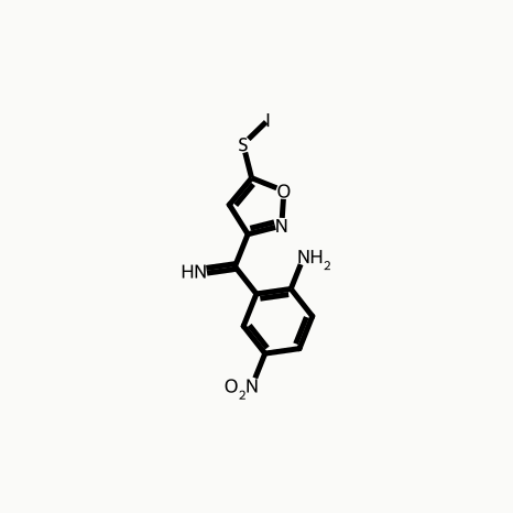 N=C(c1cc(SI)on1)c1cc([N+](=O)[O-])ccc1N